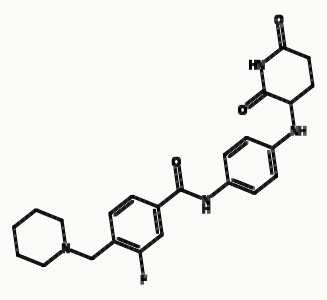 O=C1CCC(Nc2ccc(NC(=O)c3ccc(CN4CCCCC4)c(F)c3)cc2)C(=O)N1